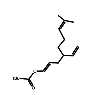 C=CC(CC=COC(=O)C(C)(C)C)CCC=C(C)C